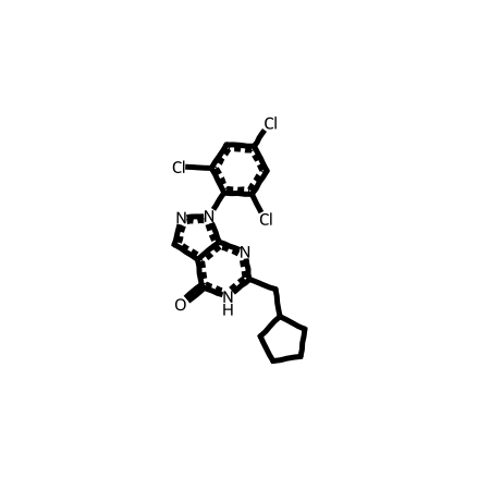 O=c1[nH]c(CC2CCCC2)nc2c1cnn2-c1c(Cl)cc(Cl)cc1Cl